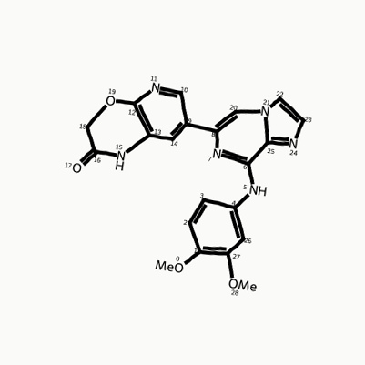 COc1ccc(Nc2nc(-c3cnc4c(c3)NC(=O)CO4)cn3ccnc23)cc1OC